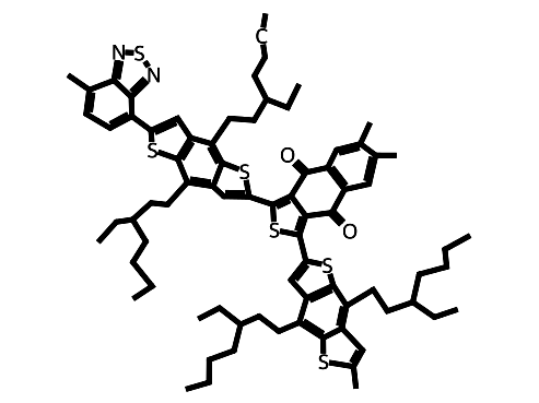 CCCCC(CC)CCc1c2cc(-c3sc(-c4cc5c(CCC(CC)CCCC)c6sc(-c7ccc(C)c8nsnc78)cc6c(CCC(CC)CCCC)c5s4)c4c3C(=O)c3cc(C)c(C)cc3C4=O)sc2c(CCC(CC)CCCC)c2cc(C)sc12